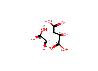 O=C(O)CC(=O)C(=O)O.O=CC(=O)O